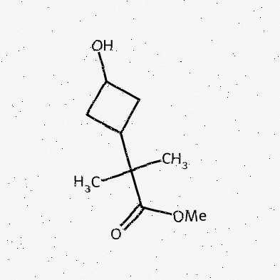 COC(=O)C(C)(C)C1CC(O)C1